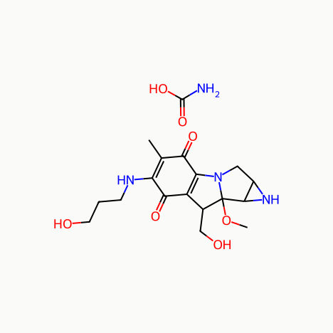 COC12C(CO)C3=C(C(=O)C(C)=C(NCCCO)C3=O)N1CC1NC12.NC(=O)O